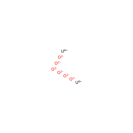 [O-2].[O-2].[O-2].[O-2].[O-2].[O-2].[U+6].[U+6]